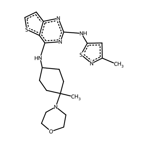 Cc1cc(Nc2nc(NC3CCC(C)(N4CCOCC4)CC3)c3sccc3n2)sn1